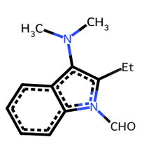 CCc1c(N(C)C)c2ccccc2n1C=O